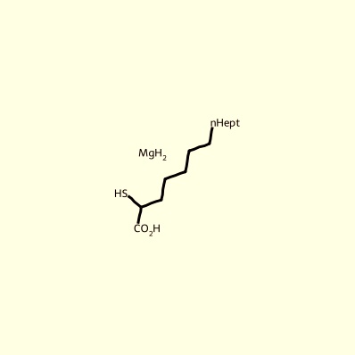 CCCCCCCCCCCCC(S)C(=O)O.[MgH2]